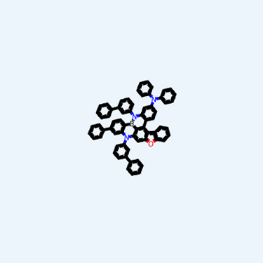 c1ccc(-c2cccc(N3B4c5ccc(-c6ccccc6)cc5N(c5cccc(-c6ccccc6)c5)c5cc6oc7ccccc7c6c(c54)-c4ccc(N(c5ccccc5)c5ccccc5)cc43)c2)cc1